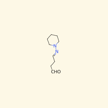 O=CCCC=NN1CCCCC1